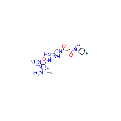 Nc1nc(N)c(C(=O)/N=C2\NCC3(CCN(C(=O)CCC(=O)N4CCc5cc(F)ccc54)CC3)N2)nc1CI